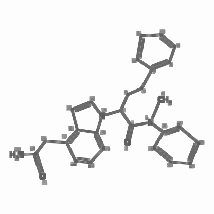 CN(C(=O)C(CCc1ccccc1)n1ccc2c(CC(N)=O)cccc21)c1ccccc1